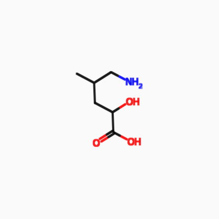 CC(CN)CC(O)C(=O)O